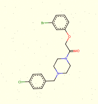 O=C(COc1cccc(Br)c1)N1CCN(Cc2ccc(Cl)cc2)CC1